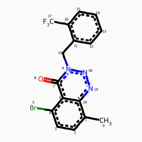 Cc1ccc(Br)c2c(=O)n(Cc3ccccc3C(F)(F)F)nnc12